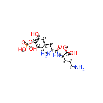 NCCCC(NC(=O)C(N)Cc1ccc(OP(=O)(O)O)c(O)c1)C(=O)O